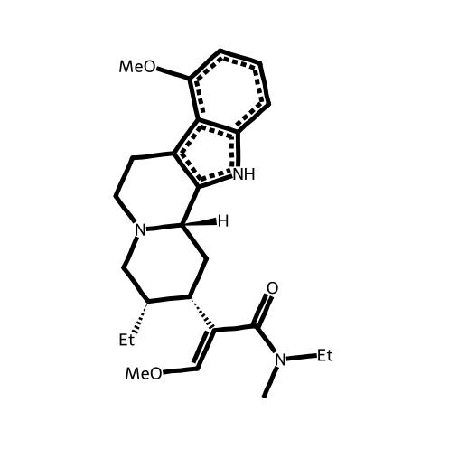 CC[C@@H]1CN2CCc3c([nH]c4cccc(OC)c34)[C@@H]2C[C@@H]1/C(=C\OC)C(=O)N(C)CC